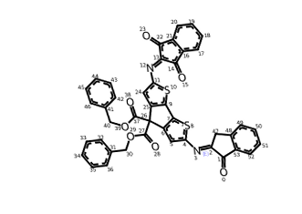 O=C1/C(=N/c2cc3c(s2)-c2sc(N=c4c(=O)c5ccccc5c4=O)cc2C3(C(=O)OCc2ccccc2)C(=O)OCc2ccccc2)Cc2ccccc21